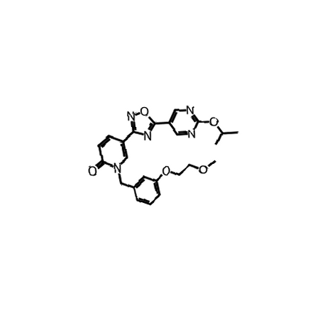 COCCOc1cccc(Cn2cc(-c3noc(-c4cnc(OC(C)C)nc4)n3)ccc2=O)c1